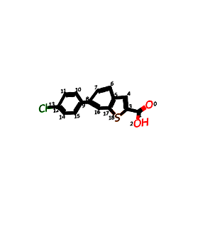 O=C(O)c1cc2ccc(-c3ccc(Cl)cc3)cc2s1